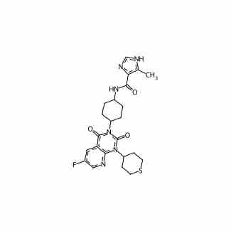 Cc1[nH]cnc1C(=O)NC1CCC(n2c(=O)c3cc(F)cnc3n(C3CCSCC3)c2=O)CC1